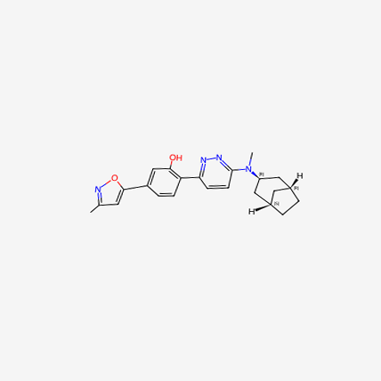 Cc1cc(-c2ccc(-c3ccc(N(C)[C@H]4C[C@@H]5CC[C@@H](C5)C4)nn3)c(O)c2)on1